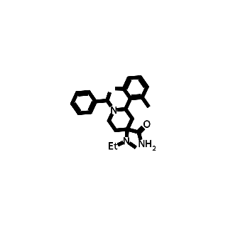 CCN(C)C1(C(N)=O)CCN(C(C)c2ccccc2)C(c2c(C)cccc2C)C1